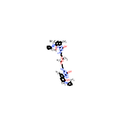 Cc1cc(Nc2nc(O)nc(NCCCOC(C)OC(C)OCCCNc3nc(O)nc(Nc4cc(C)cc5cc(C)c(N=Nc6ccccc6C)c(O)c45)n3)n2)c2c(O)c(N=Nc3ccccc3C)c(C)cc2c1